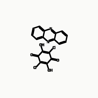 O=C1C(O)=C(Cl)C(=O)C(O)=C1Cl.c1ccc2nc3ccccc3nc2c1